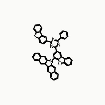 c1ccc(-c2nc(-c3ccc4sc5ccccc5c4c3)nc(-c3cc(-n4c5cc6ccccc6cc5c5cc6ccccc6cc54)c4oc5ccccc5c4c3)n2)cc1